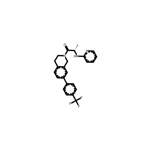 C[C@H](Nc1ccccn1)C(=O)N1CCc2ccc(-c3ccc(C(F)(F)F)cc3)cc2C1